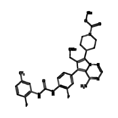 COCc1c(-c2ccc(NC(=O)Nc3cc(C(F)(F)F)ccc3F)c(F)c2)c2c(N)ncnn2c1C1CCN(C(=O)OC(C)(C)C)CC1